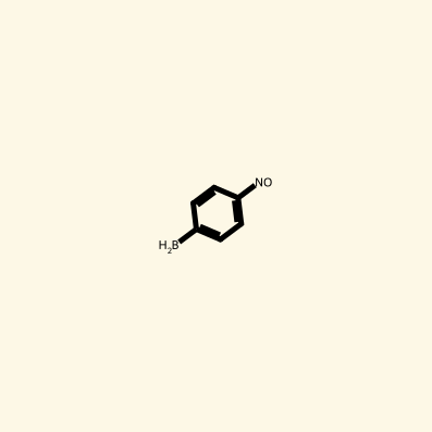 Bc1ccc(N=O)cc1